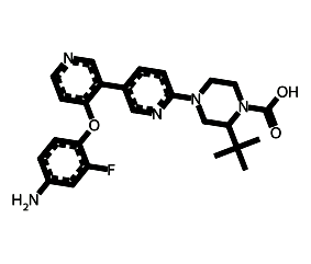 CC(C)(C)C1CN(c2ccc(-c3cnccc3Oc3ccc(N)cc3F)cn2)CCN1C(=O)O